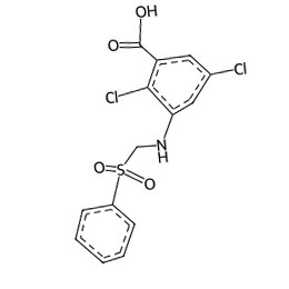 O=C(O)c1cc(Cl)cc(NCS(=O)(=O)c2ccccc2)c1Cl